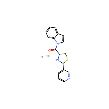 Cl.Cl.O=C(C1CSC(c2cccnc2)N1)n1ccc2ccccc21